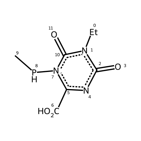 CCn1c(=O)nc(C(=O)O)n(PC)c1=O